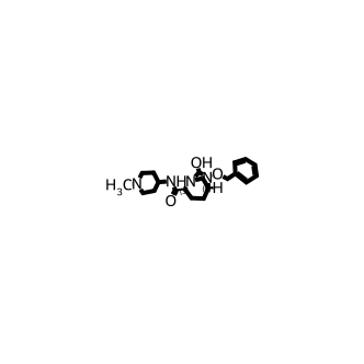 CN1CCC(NC(=O)[C@@H]2CC[C@@H]3CN2C(O)N3OCc2ccccc2)CC1